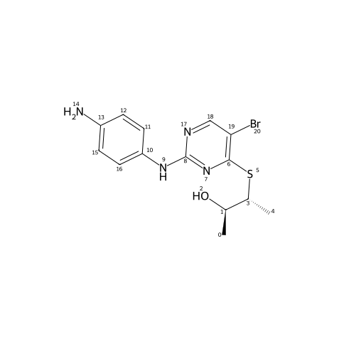 C[C@@H](O)[C@@H](C)Sc1nc(Nc2ccc(N)cc2)ncc1Br